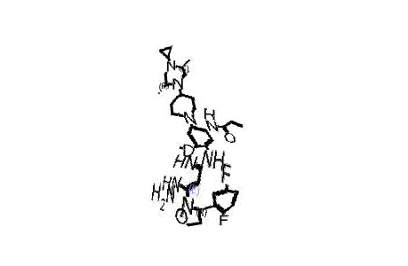 C=CC(=O)Nc1cc(NC(=N)/C=C(\NN)N2OCC[C@@H]2c2cc(F)ccc2F)c(OC)cc1N1CCC(N2C[C@H](C)N(C3CC3)C[C@H]2C)CC1